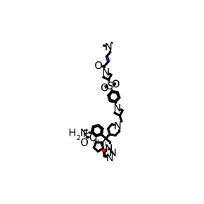 CN(C)C/C=C/C(=O)N1CC(S(=O)(=O)c2ccc(N3CC(CN4CCC(C(Cn5ccnn5)(c5cccc(F)c5)[C@H]5CCC[C@@H]5OC(N)=O)CC4)C3)cc2)C1